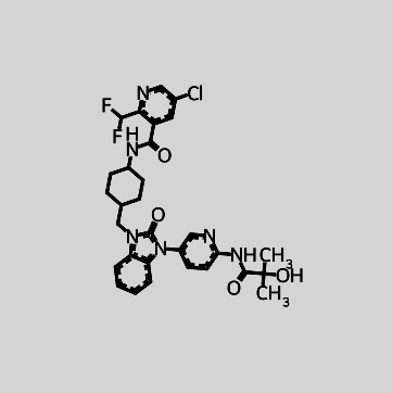 CC(C)(O)C(=O)Nc1ccc(-n2c(=O)n(CC3CCC(NC(=O)c4cc(Cl)cnc4C(F)F)CC3)c3ccccc32)cn1